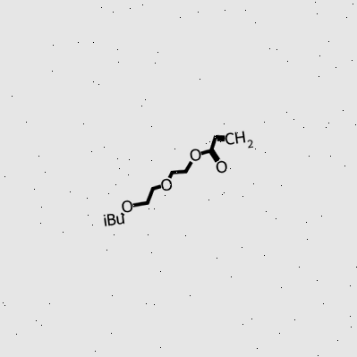 C=CC(=O)OCCOCCOC(C)CC